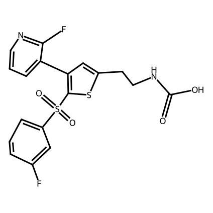 O=C(O)NCCc1cc(-c2cccnc2F)c(S(=O)(=O)c2cccc(F)c2)s1